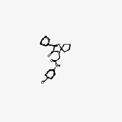 O=C(CN1C(=O)C(c2ccccc2)=NC12CCCC2)Nc1ccc(Cl)cc1